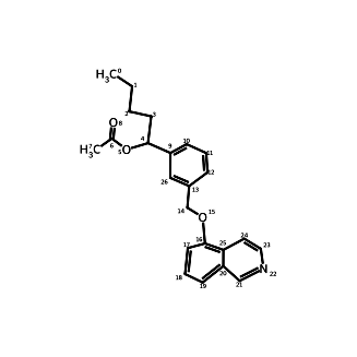 CCCCC(OC(C)=O)c1cccc(COc2cccc3cnccc23)c1